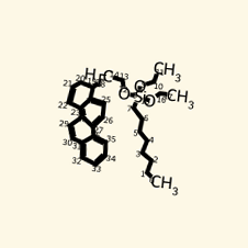 CCCCCCCC[Si](OCC)(OCC)OCC.FC1CC=Cc2c1ccc1c2ccc2ccccc21